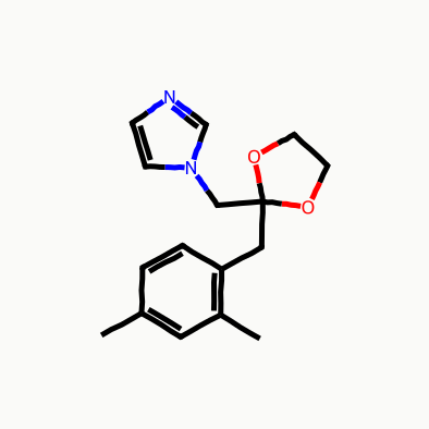 Cc1ccc(CC2(Cn3ccnc3)OCCO2)c(C)c1